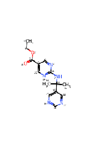 CCOC(=O)c1cnc(NC(C)(C)c2cncnc2)nc1